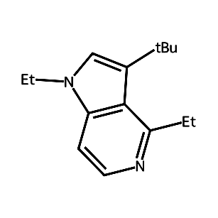 CCc1nccc2c1c(C(C)(C)C)cn2CC